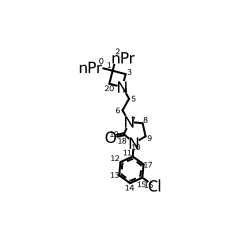 CCCC1(CCC)CN(CCN2CCN(c3cccc(Cl)c3)C2=O)C1